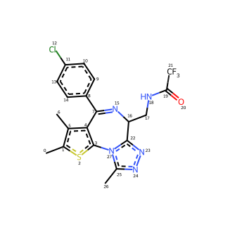 Cc1sc2c(c1C)C(c1ccc(Cl)cc1)=NC(CNC(=O)C(F)(F)F)c1nnc(C)n1-2